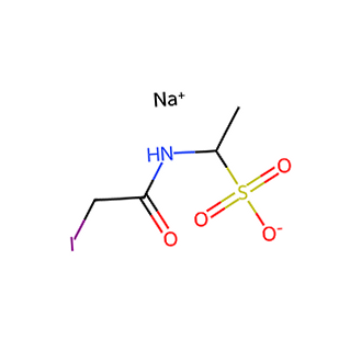 CC(NC(=O)CI)S(=O)(=O)[O-].[Na+]